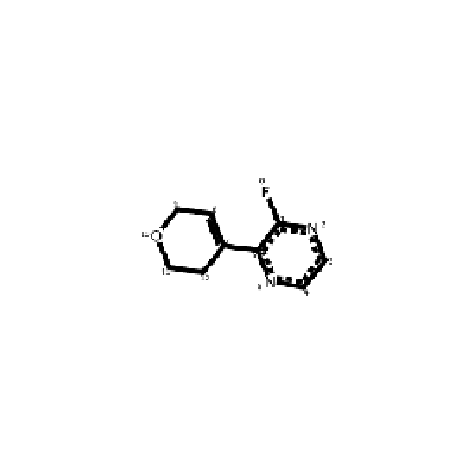 Fc1nccnc1C1=CCOCC1